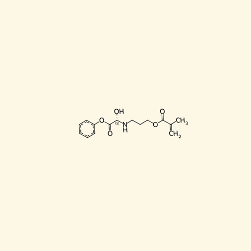 C=C(C)C(=O)OCCCN[C@@H](O)C(=O)Oc1ccccc1